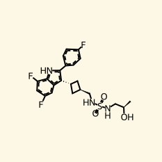 C[C@@H](O)CNS(=O)(=O)NC[C@H]1C[C@H](c2c(-c3ccc(F)cc3)[nH]c3c(F)cc(F)cc32)C1